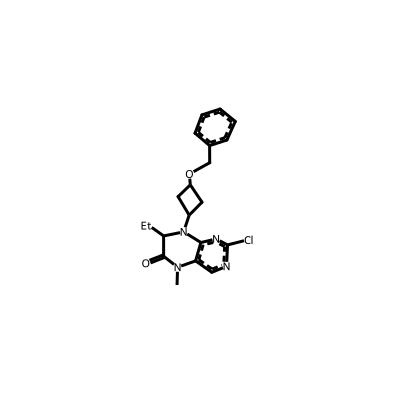 CCC1C(=O)N(C)c2cnc(Cl)nc2N1C1CC(OCc2ccccc2)C1